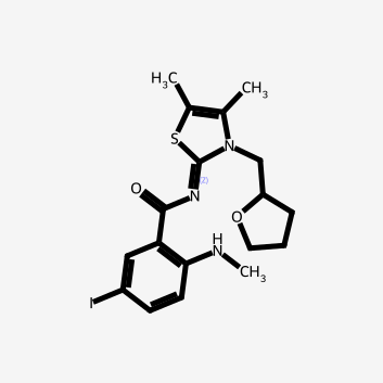 CNc1ccc(I)cc1C(=O)/N=c1\sc(C)c(C)n1CC1CCCO1